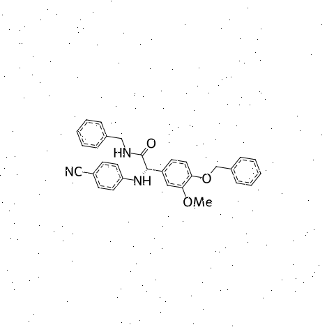 COc1cc([C@H](Nc2ccc(C#N)cc2)C(=O)NCc2ccccc2)ccc1OCc1ccccc1